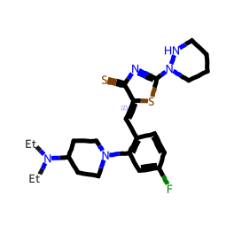 CCN(CC)C1CCN(c2cc(F)ccc2/C=C2\SC(N3CCCCN3)=NC2=S)CC1